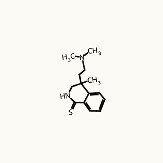 CN(C)CCC1(C)CNC(=S)c2ccccc21